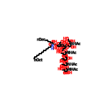 CCCCCCCC/C=C\CCCCCCCCCCCCCC(=O)N[C@@H](CO[C@@H]1OC(CO)[C@@H](O[C@@H]2OC(CO)[C@H](O[C@@H]3OC(CO)[C@H](O)[C@H](O[C@@H]4OC(CO)[C@H](O)[C@H](O[C@@H]5OC(CO)[C@H](O)[C@H](O[C@H]6OC(CO)[C@H](O)[C@H](O)C6NC(C)=O)C5NC(C)=O)C4O)C3NC(C)=O)[C@H](O[C@]3(C(=O)O)CC(O)[C@@H](NC(C)=O)C([C@H](O)[C@H](O)CO)O3)C2O)[C@H](O)C1O)[C@H](O)/C=C/CCCCCCCCCCCCC